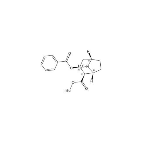 CCCCOC(=O)[C@H]1[C@@H](OC(=O)c2ccccc2)C[C@@H]2CC[C@H]1N2C